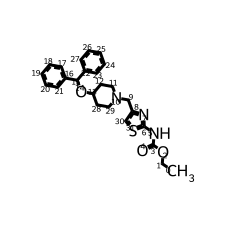 CCOC(=O)Nc1nc(CN2CCC(OC(c3ccccc3)c3ccccc3)CC2)cs1